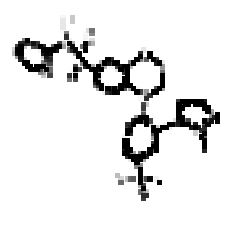 Cn1nccc1-c1cc(C(F)(F)F)ccc1N1CCOc2cc(S(=O)(=O)Nc3nccs3)ccc21